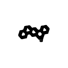 c1ccc2c(c1)-c1cc3ccc4ccccc4c3cc1C1OC21